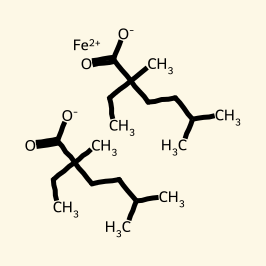 CCC(C)(CCC(C)C)C(=O)[O-].CCC(C)(CCC(C)C)C(=O)[O-].[Fe+2]